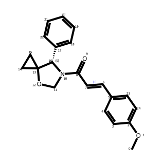 COc1ccc(/C=C/C(=O)N2COC3(CC3)[C@@H]2c2ccccc2)cc1